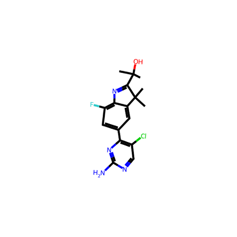 CC(C)(O)C1=Nc2c(F)cc(-c3nc(N)ncc3Cl)cc2C1(C)C